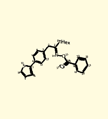 CCCCCCC(Cc1ccc(-c2cccs2)cc1)=NOC(=O)c1ccccc1